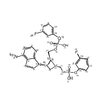 Nc1ncnc2c1ncn2[C@@H]1C[C@H](COP(=O)(O)Oc2cccc(F)c2)[C@@H]1COP(=O)(O)Oc1cccc(F)c1